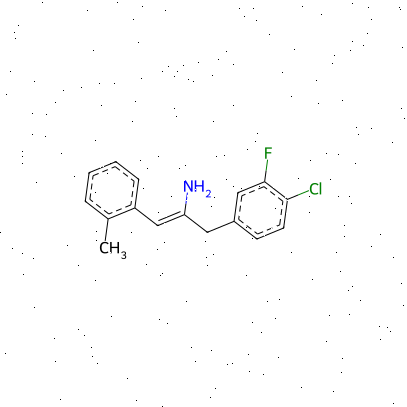 Cc1ccccc1/C=C(\N)Cc1ccc(Cl)c(F)c1